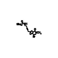 Cn1cc(Br)c2oc(CC#CCCNC(=O)OC(C)(C)C)cc2c1=O